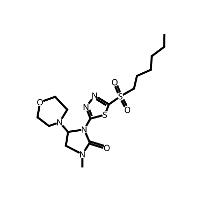 CCCCCCS(=O)(=O)c1nnc(N2C(=O)N(C)CC2N2CCOCC2)s1